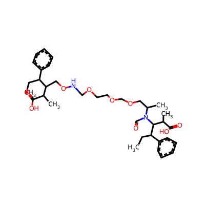 CCC(c1ccccc1)C(CONCOCCOCOCC(C)N(C=O)C(C(C)C(=O)O)C(CC)c1ccccc1)C(C)C(=O)O